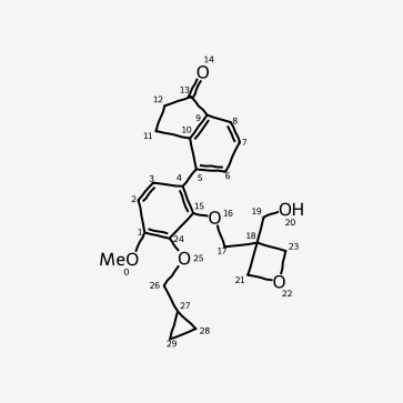 COc1ccc(-c2cccc3c2CCC3=O)c(OCC2(CO)COC2)c1OCC1CC1